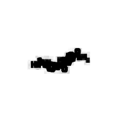 CC(=N)NCC1CCC(CNC(=O)c2cc3cc(C(N)=O)ccc3[nH]2)CC1